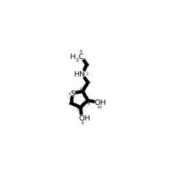 CCNCC1SCC(O)C1O